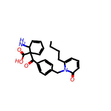 CCCCc1cccc(=O)n1Cc1ccc(C(=O)C2(C(=O)O)C=CC=CC2N)cc1